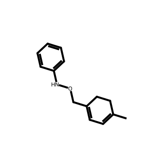 CC1=CC=C(CONc2ccccc2)CC1